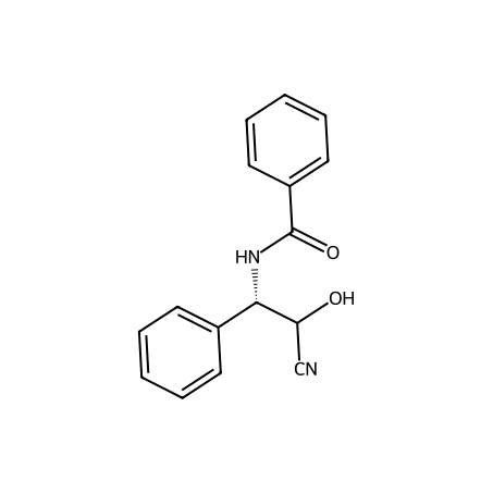 N#CC(O)[C@@H](NC(=O)c1ccccc1)c1ccccc1